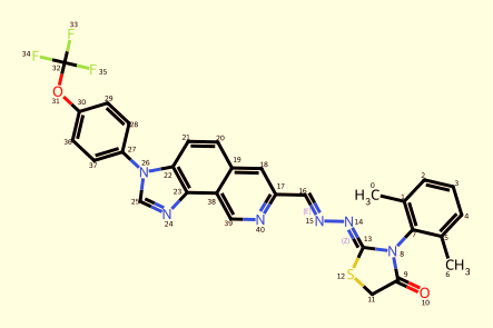 Cc1cccc(C)c1N1C(=O)CS/C1=N\N=C\c1cc2ccc3c(ncn3-c3ccc(OC(F)(F)F)cc3)c2cn1